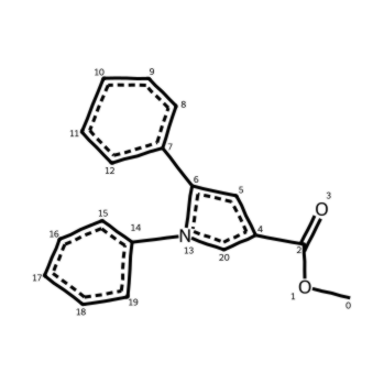 COC(=O)c1cc(-c2ccccc2)n(-c2ccccc2)c1